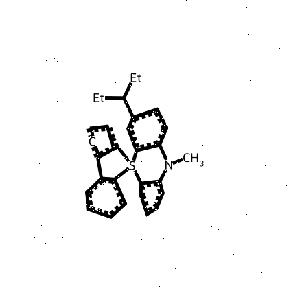 CCC(CC)c1ccc2c(c1)S1(c3ccccc3-c3ccccc31)c1ccccc1N2C